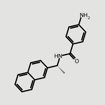 C[C@@H](NC(=O)c1ccc(N)cc1)c1ccc2ccccc2c1